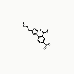 COCCn1cc(-c2ccc([N+](=O)[O-])cc2C(=O)OC)cn1